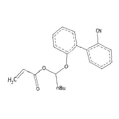 C=CC(=O)OC(CCCC)Oc1ccccc1-c1ccccc1C#N